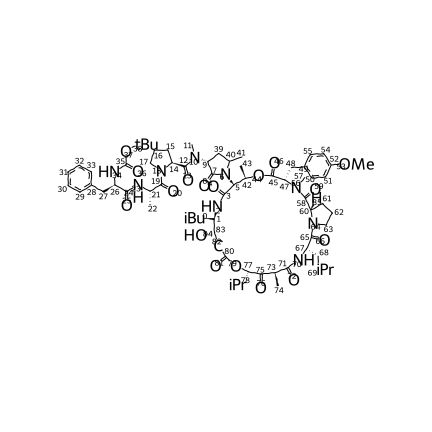 CC[C@H](C)[C@H]1NC(=O)[C@@H](N2C(=O)[C@H](N(C)C(=O)[C@@H]3CCCN3C(=O)[C@H](C)NC(=O)[C@@H](Cc3ccccc3)NC(=O)OC(C)(C)C)CC2C)[C@@H](C)OC(=O)[C@H](Cc2ccc(OC)cc2)N(C)C(=O)[C@@H]2CCCN2C(=O)[C@H](CC(C)C)NC(=O)[C@@H](C)C(=O)[C@H](C(C)C)OC(=O)C[C@@H]1O